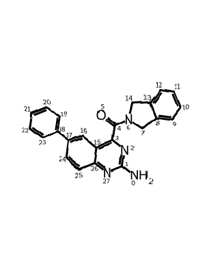 Nc1nc(C(=O)N2Cc3ccccc3C2)c2cc(-c3ccccc3)ccc2n1